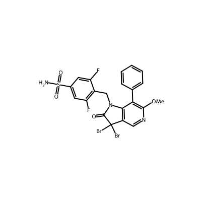 COc1ncc2c(c1-c1ccccc1)N(Cc1c(F)cc(S(N)(=O)=O)cc1F)C(=O)C2(Br)Br